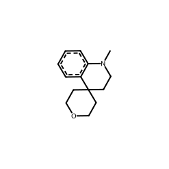 CN1CCC2(CCOCC2)c2ccccc21